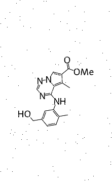 COC(=O)c1cn2ncnc(Nc3cc(CO)ccc3C)c2c1C